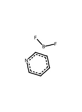 F[B]F.c1ccncc1